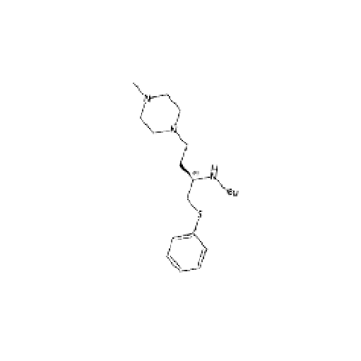 CCC(C)N[C@H](CCN1CCN(C)CC1)CSc1ccccc1